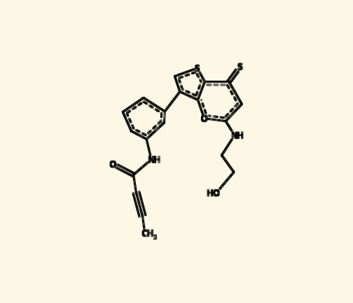 CC#CC(=O)Nc1cccc(-c2csc3c(=S)cc(NCCO)oc23)c1